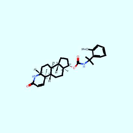 COc1ccccc1C(C)(C)NC(=O)O[C@H]1CC[C@H]2[C@@H]3CC[C@H]4NC(=O)C=C[C@]4(C)[C@H]3CC[C@]12C